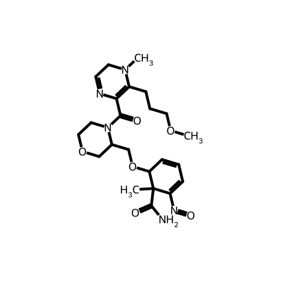 COCCCC1=C(C(=O)N2CCOCC2COC2C=CC=C(N=O)C2(C)C(N)=O)N=CCN1C